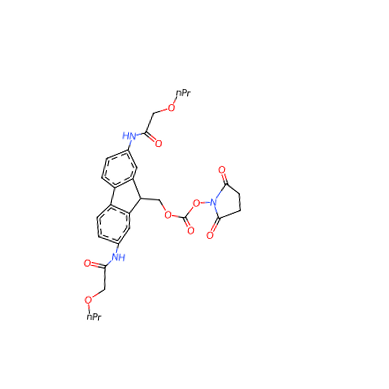 CCCOCC(=O)Nc1ccc2c(c1)C(COC(=O)ON1C(=O)CCC1=O)c1cc(NC(=O)COCCC)ccc1-2